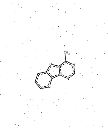 Cc1ncnc2c1oc1cccnc12